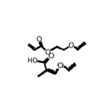 C=COC=C(C)C(=O)O.C=COCCOC(=O)C=C